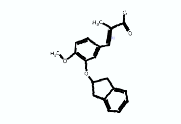 COc1ccc(/C=C(\C)C(=O)Cl)cc1OC1Cc2ccccc2C1